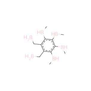 BCc1c(BC)c(BC)c(BC)c(BC)c1CB